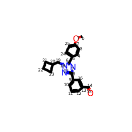 COc1ccc(-c2nc(-c3cccc(C=O)c3)nn2CC2CCC2)cc1